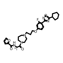 C[C@H](NC(=O)c1ccco1)C(=O)N1CCCN(CCCOc2ccc(-c3noc(C4CCCCC4)n3)c(F)c2)CC1